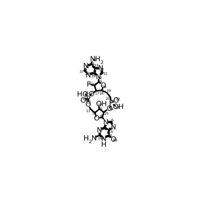 Nc1nc2c(ncn2C2OC3COP(=O)(O)OC4C(CCP(=O)(O)OC2C3O)OC(n2cnc3c(N)ncnc32)C4F)c(=O)[nH]1